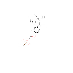 CCC(C)(C)CC(C)(C)c1ccc(OCCOS(C)(=O)=O)cc1